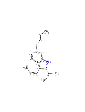 C=C(C)c1[nH]c2cc(CCCC)ccc2c1/C=C\C